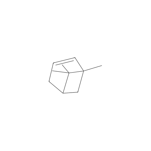 CC12C=CCC(C1)C2(C)C